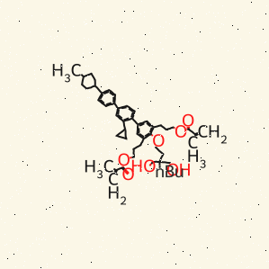 C=C(C)C(=O)OCCCc1cc(-c2ccc(-c3ccc(C4CCC(C)CC4)cc3)cc2C2CC2)cc(CCCOC(=O)C(=C)C)c1OCCC(CO)(CO)CCCC